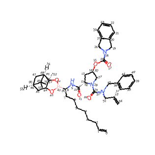 C=CCCCCCC[C@H](NC(=O)[C@@H]1C[C@@H](OC(=O)N2Cc3ccccc3C2)CN1C(=O)N(CC=C)Cc1ccccc1)B1OC2C[C@H]3C[C@H](C3(C)C)[C@@]2(C)O1